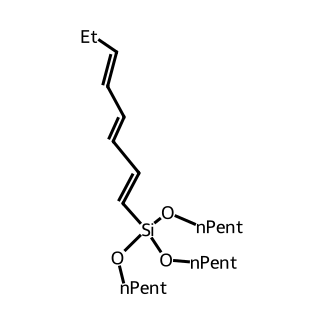 CCC=CC=CC=C[Si](OCCCCC)(OCCCCC)OCCCCC